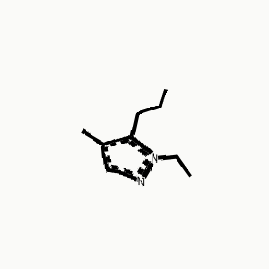 CCCc1c(C)cnn1CC